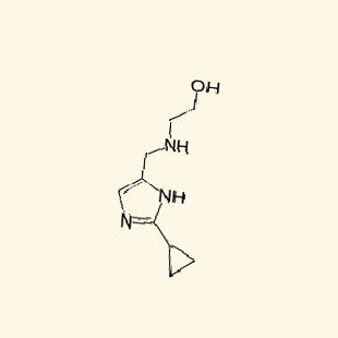 OCCNCc1cnc(C2CC2)[nH]1